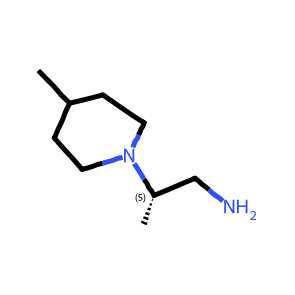 CC1CCN([C@@H](C)CN)CC1